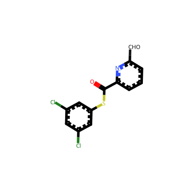 O=Cc1cccc(C(=O)Sc2cc(Cl)cc(Cl)c2)n1